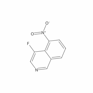 O=[N+]([O-])c1cccc2cncc(F)c12